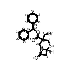 O=C1C[C@H]2SCC(CBr)(C(=O)OC(c3ccccc3)c3ccccc3)CN12